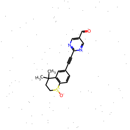 CC1(C)CC[S+]([O-])c2ccc(C#Cc3ncc(C=O)cn3)cc21